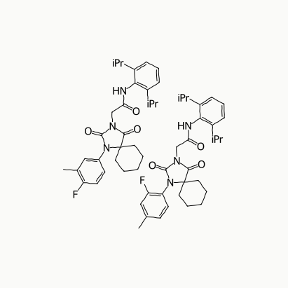 Cc1cc(N2C(=O)N(CC(=O)Nc3c(C(C)C)cccc3C(C)C)C(=O)C23CCCCC3)ccc1F.Cc1ccc(N2C(=O)N(CC(=O)Nc3c(C(C)C)cccc3C(C)C)C(=O)C23CCCCC3)c(F)c1